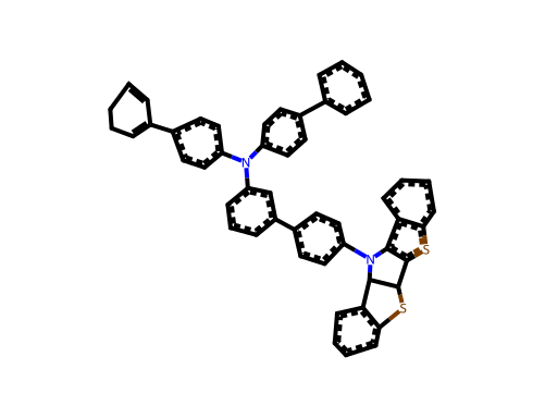 C1=CC(c2ccc(N(c3ccc(-c4ccccc4)cc3)c3cccc(-c4ccc(N5c6c(sc7ccccc67)C6Sc7ccccc7C65)cc4)c3)cc2)=CCC1